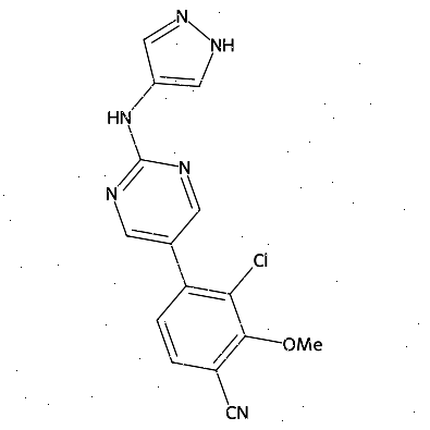 COc1c(C#N)ccc(-c2cnc(Nc3cn[nH]c3)nc2)c1Cl